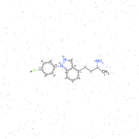 CC(N)CCc1cccc2c1cnn2-c1ccc(F)cc1